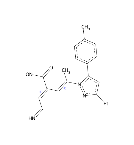 CCc1cc(-c2ccc(C)cc2)n(/C(C)=C/C(=C\C=N)C(=O)N=O)n1